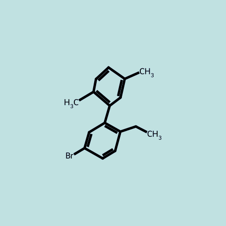 CCc1ccc(Br)cc1-c1cc(C)ccc1C